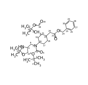 CC(C)(C)OC(=O)N(CC1COC(C)(C)N1)C1CCC(CC(=O)OCc2ccccc2)CC1.CC(C)(C)OC=O